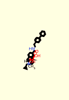 C[N+]1(CC2CC2)CC[C@]23CC(=O)CC[C@@]2(O)[C@H]1Cc1ccc(C(=O)NCCc2ccc(-c4ccccc4)cc2)c(O)c13